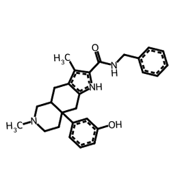 Cc1c(C(=O)NCc2ccccc2)[nH]c2c1CC1CN(C)CCC1(c1cccc(O)c1)C2